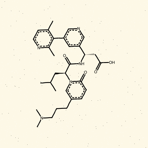 Cc1ccnc(C)c1-c1cncc([C@H](CC(=O)O)NC(=O)[C@H](CC(C)C)n2cc(CCCN(C)C)ccc2=O)c1